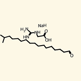 CC(C)CCCCCCCCCCCCCCC=O.N=C(N)NCC(=O)O.[NaH]